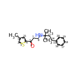 Cc1csc(C(=O)CCNC(C)(C)CCc2ccccc2)c1